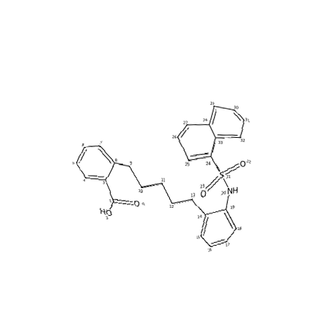 O=C(O)c1ccccc1CCCCCc1ccccc1NS(=O)(=O)c1cccc2ccccc12